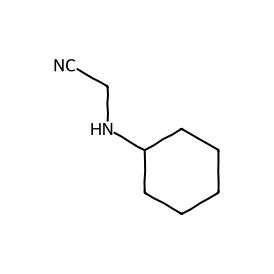 N#CCNC1CCCCC1